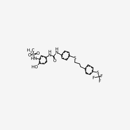 CS(=O)(=O)Nc1cc(NC(=O)Nc2ccc(SCCCc3ccc(SC(F)(F)F)cc3)cc2)ccc1O